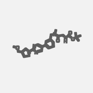 COCC1CCN(c2ncc(-c3cccc(CN(C)C(=O)CNC(=O)OC(C)(C)C)c3)cn2)C1